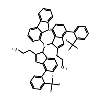 CCCC1=Cc2c(-c3ccccc3C(F)(F)F)cccc2[CH]1[Hf]([c]1cccc2c1[SiH2]c1ccccc1-2)[CH]1C(CCC)=Cc2c(-c3ccccc3C(F)(F)F)cccc21